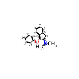 CN(C)[C@@H]1Cc2ccccc2[C@H]1Oc1ccccc1